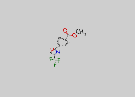 COC(=O)c1ccc(-c2nc(C(F)(F)F)co2)cc1